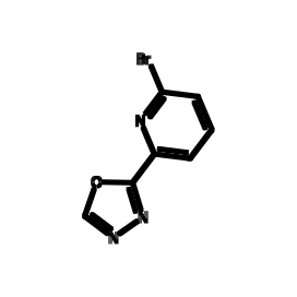 Brc1cccc(-c2nnco2)n1